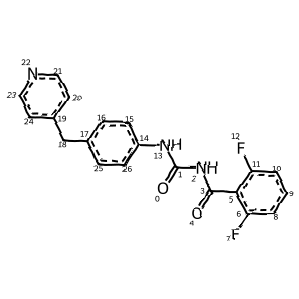 O=C(NC(=O)c1c(F)cccc1F)Nc1ccc(Cc2ccncc2)cc1